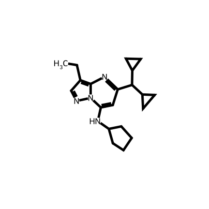 CCc1cnn2c(NC3CCCC3)cc(C(C3CC3)C3CC3)nc12